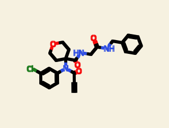 C#CC(=O)N(c1cccc(Cl)c1)C1(C(=O)NCC(=O)NCc2ccccc2)CCOCC1